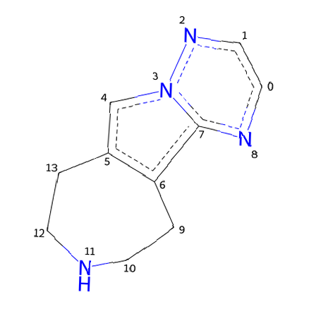 c1cnn2cc3c(c2n1)CCNCC3